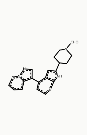 O=CN1CCC(c2cc3c(-c4cnn5ncccc45)ccnc3[nH]2)CC1